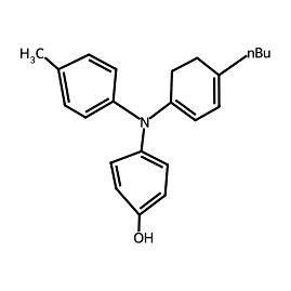 CCCCC1=CC=C(N(c2ccc(C)cc2)c2ccc(O)cc2)CC1